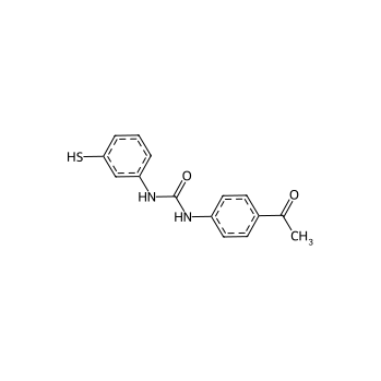 CC(=O)c1ccc(NC(=O)Nc2cccc(S)c2)cc1